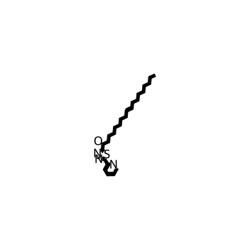 CCCCCCCCC=CCCCCCCCC(=O)c1nnc(-c2ccccn2)s1